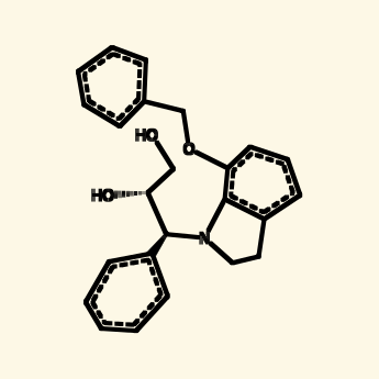 OC[C@@H](O)[C@H](c1ccccc1)N1CCc2cccc(OCc3ccccc3)c21